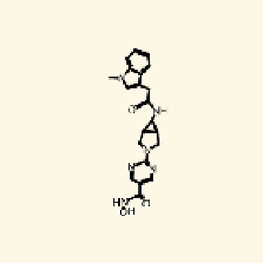 Cn1cc(CC(=O)NC2C3CN(c4ncc(C(=O)NO)cn4)CC32)c2ccccc21